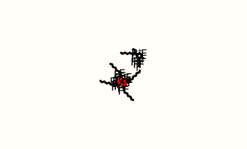 CCCCCCC(F)(F)C(F)(F)C(F)(F)[B-](C(F)(F)C(F)(F)C(F)(F)CCCCCC)(C(F)(F)C(F)(F)C(F)(F)CCCCCC)C(F)(F)C(F)(F)C(F)(F)CCCCCC.CCCCCC[PH+](CC)c1cc(F)c(F)c(C(F)(F)C(F)(F)F)c1F